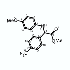 COC(=O)C(Nc1ccc(OC)cc1)c1ccc(C(F)(F)F)cc1